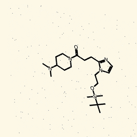 CN(C)C1CCN(C(=O)CCc2nccn2CCO[Si](C)(C)C(C)(C)C)CC1